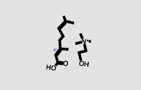 CC(C)=CCC/C(C)=C/C(=O)O.C[N+](C)(C)CCO